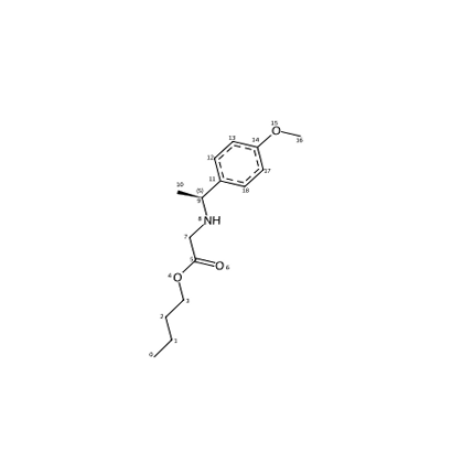 CCCCOC(=O)CN[C@@H](C)c1ccc(OC)cc1